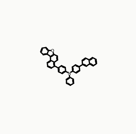 c1ccc(N(c2ccc(-c3ccc4ccccc4c3)cc2)c2ccc(-c3cccc4c3ccc3oc5ccccc5c34)cc2)cc1